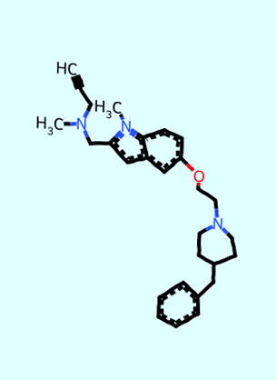 C#CCN(C)Cc1cc2cc(OCCN3CCC(Cc4ccccc4)CC3)ccc2n1C